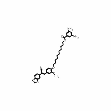 COc1cc(C=C(C#N)c2ccc3c(c2)OCO3)ccc1OCCCCCCCCCCCOC(=O)c1cc(N)cc(N)c1